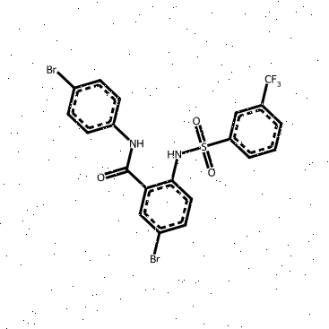 O=C(Nc1ccc(Br)cc1)c1cc(Br)ccc1NS(=O)(=O)c1cccc(C(F)(F)F)c1